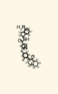 Cc1cc(Cn2cc(C(=O)N[C@@H]3CCc4c3ccnc4N)nn2)ccc1N1CCN2CCCCC2C1=O